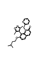 Cc1noc(C)c1-c1c(OCCN(C)C)ccc2ccc(=O)n(Cc3ccccn3)c12